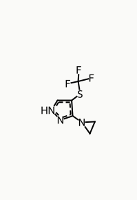 FC(F)(F)Sc1c[nH]nc1N1CC1